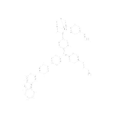 C=Cc1ccc(C23CC4CC(C2)CC(c2ccc(N(c5ccc(CCCC)cc5)c5ccc(-c6ccc(-c7ccc8oc9ccccc9c8c7)cc6)cc5)cc2)(C4)C3)cc1